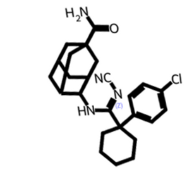 N#C/N=C(\NC1C2CC3CC1CC(C(N)=O)(C3)C2)C1(c2ccc(Cl)cc2)CCCCC1